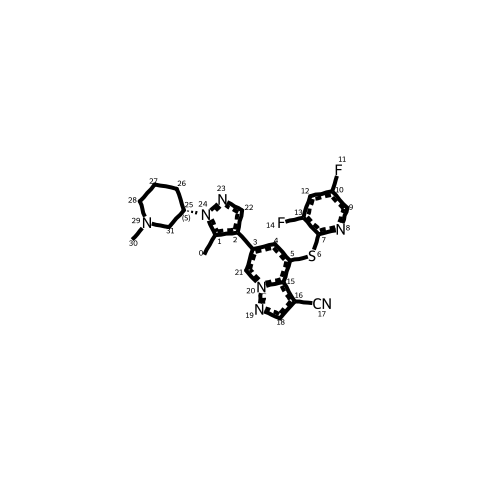 Cc1c(-c2cc(Sc3ncc(F)cc3F)c3c(C#N)cnn3c2)cnn1[C@H]1CCCN(C)C1